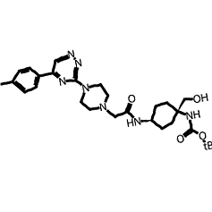 CC(C)(C)OC(=O)N[C@]1(CO)CC[C@@H](NC(=O)CN2CCN(c3nncc(-c4ccc(F)cc4)n3)CC2)CC1